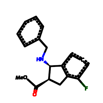 COC(=O)[C@@H]1Cc2c(F)cccc2[C@H]1NCc1ccccc1